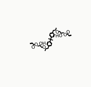 C=CC(=O)OCC(O)COC(C)Cc1ccc(C(C)(C)c2ccc(CC(C)OCC(O)COC(=O)C=C)cc2)cc1